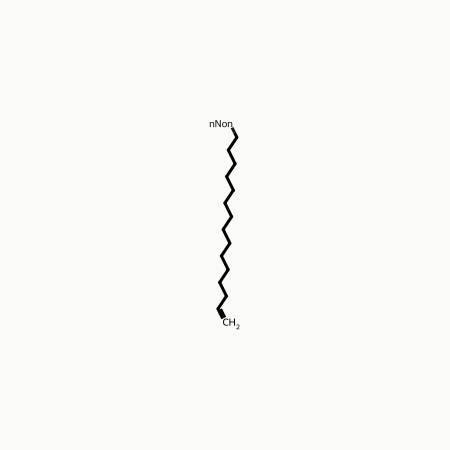 [CH2]CCCCCCCCCCCCCCCCCCCCCC=C